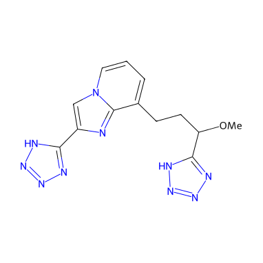 COC(CCc1cccn2cc(-c3nnn[nH]3)nc12)c1nnn[nH]1